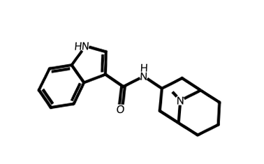 CN1C2CCCC1CC(NC(=O)c1c[nH]c3ccccc13)C2